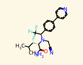 CC(C)C[C@@H](C(N)=O)N(CC#N)[C@H](c1ccc(-c2ccncc2)cc1)C(F)(F)F